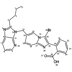 CCCCc1nc2cccnc2n1Cc1ccc2nc(-c3ccccc3C(=O)O)c(Br)n2c1